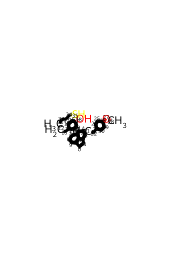 C1=Cc2cccc3cccc1c23.C=Cc1ccc(O)cc1.C=Cc1ccc(OC)cc1.CCCCS